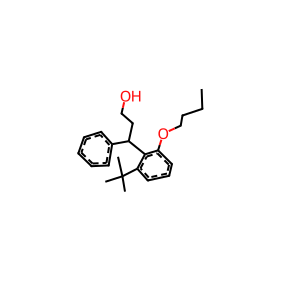 CCCCOc1cccc(C(C)(C)C)c1C(CCO)c1ccccc1